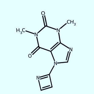 Cn1c(=O)c2c(ncn2C2=NC=C2)n(C)c1=O